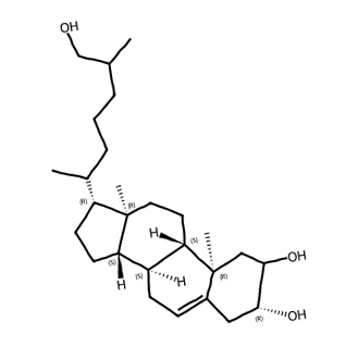 CC(CO)CCCC(C)[C@H]1CC[C@H]2[C@@H]3CC=C4C[C@@H](O)C(O)C[C@]4(C)[C@H]3CC[C@]12C